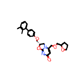 Cc1cccc(-c2ccc(OC[C@@H]3Cn4c(COCC5CCCO5)cc(=O)nc4O3)cc2)c1C